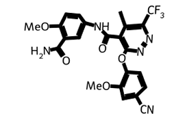 COc1cc(C#N)ccc1Oc1nnc(C(F)(F)F)c(C)c1C(=O)Nc1ccc(OC)c(C(N)=O)c1